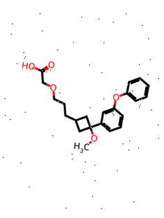 COC1(c2cccc(Oc3ccccc3)c2)CC(CCCOCC(=O)O)C1